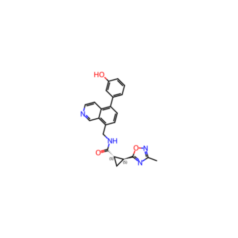 Cc1noc([C@H]2C[C@@H]2C(=O)NCc2ccc(-c3cccc(O)c3)c3ccncc23)n1